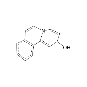 OC1C=CN2C=Cc3ccccc3C2=C1